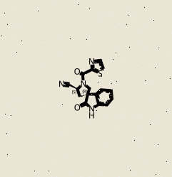 N#C[C@@H]1C[C@@]2(CN1C(=O)c1nccs1)C(=O)Nc1ccccc12